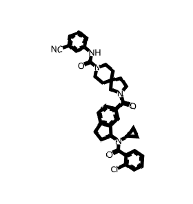 N#Cc1cccc(NC(=O)N2CCC3(CC2)CCN(C(=O)c2ccc4c(c2)C(N(C(=O)c2ccccc2Cl)C2CC2)CC4)C3)c1